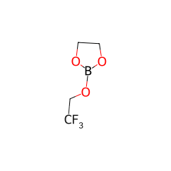 FC(F)(F)COB1OCCO1